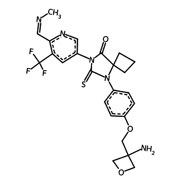 C/N=C\c1ncc(N2C(=O)C3(CCC3)N(c3ccc(OCC4(N)COC4)cc3)C2=S)cc1C(F)(F)F